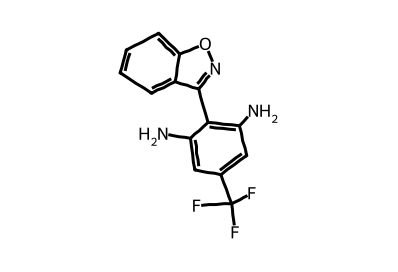 Nc1cc(C(F)(F)F)cc(N)c1-c1noc2ccccc12